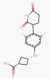 O=C1CCC(c2c(F)cc(N[C@H]3C[C@H](C(=O)O)C3)cc2F)C(=O)N1